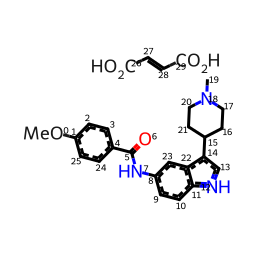 COc1ccc(C(=O)Nc2ccc3[nH]cc(C4CCN(C)CC4)c3c2)cc1.O=C(O)/C=C/C(=O)O